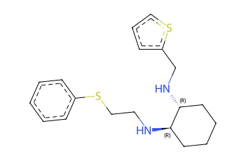 c1ccc(SCCN[C@@H]2CCCC[C@H]2NCc2cccs2)cc1